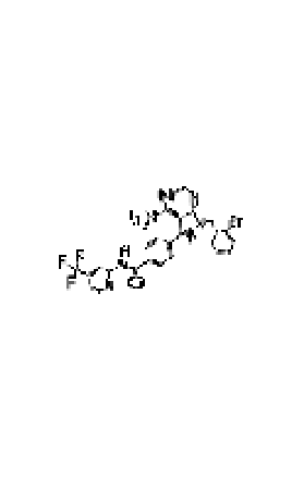 Nc1ncnc2c1c(-c1ccc(C(=O)Nc3cc(C(F)(F)F)ccn3)cc1)nn2Cc1ccccc1Br